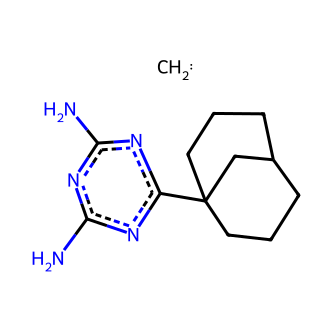 Nc1nc(N)nc(C23CCCC(CCC2)C3)n1.[CH2]